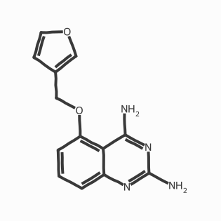 Nc1nc(N)c2c(OCc3ccoc3)cccc2n1